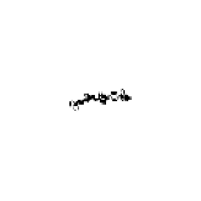 COC(=O)/C=C/c1cc(C=Cc2ccc(N3CCN(C(=O)OC(C)(C)C)CC3)cn2)cs1